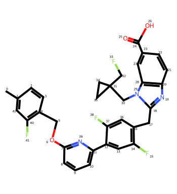 Cc1ccc(COc2cccc(-c3cc(F)c(Cc4nc5ccc(C(=O)O)cc5n4CC4(CF)CC4)cc3F)n2)c(F)c1